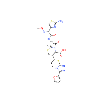 CCC(Sc1nnc(-c2ccco2)[nH]1)C1=C(C(=O)O)N2C(=O)[C@@H](NC(=O)C(=NOC)c3csc(N)n3)[C@@H]2SC1